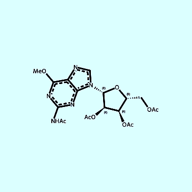 COc1nc(NC(C)=O)nc2c1ncn2[C@@H]1O[C@H](COC(C)=O)[C@@H](OC(C)=O)[C@H]1OC(C)=O